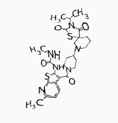 CNC(=O)Nc1sc2nc(C)ccc2c1C(=O)N1CCC(N2CCCC3(C2)SC(=O)N(C(C)C)C3=O)CC1